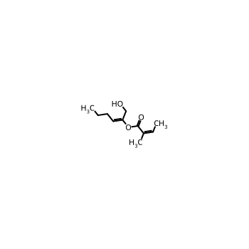 CC=C(C)C(=O)OC(=CCCC)CO